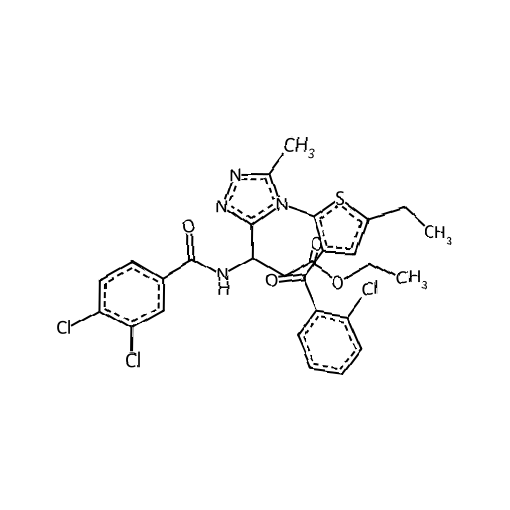 CCOC(=O)CC(NC(=O)c1ccc(Cl)c(Cl)c1)c1nnc(C)n1-c1sc(CC)cc1C(=O)c1ccccc1Cl